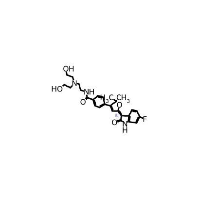 CC1(C)O/C(=C2/C(=O)Nc3cc(F)ccc32)C=C1c1ccc(C(=O)NCCN(CCO)CCO)cc1